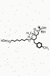 CCCCCCCCCCOCCCCCCCOCC(Cc1ccc(C)cc1)CC(COP(=O)(O)O)[N+](C)(C)C